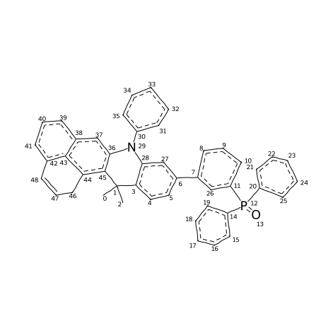 CC1(C)c2ccc(-c3cccc(P(=O)(c4ccccc4)c4ccccc4)c3)cc2N(c2ccccc2)c2cc3cccc4c3c(c21)CC=C4